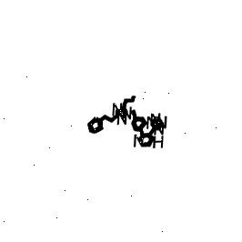 CCCc1nc(CCc2ccccc2)nn1Cc1ccc(-c2ncccc2-c2nnn[nH]2)cc1